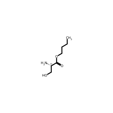 CCCCOC(=O)[C@@H](N)CO